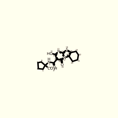 O=C(NC1(C(=O)O)CCCC1)c1c(O)nc2sc3c(n2c1=O)CCCC3